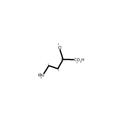 CC(C)(C)CCC(Cl)C(=O)O